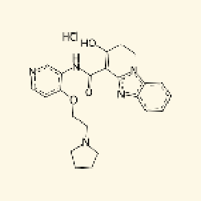 Cl.O=C(Nc1cnccc1OCCN1CCCC1)C1=C(O)CCn2c1nc1ccccc12